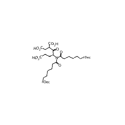 CCCCCCCCCCCCCCCC(=O)N(C(=O)CCCCCCCCCCCCCCC)[C@@H](CCC(=O)O)C(=O)C(CC(=O)O)C(=O)O